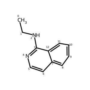 CCNc1nccc2ccccc12